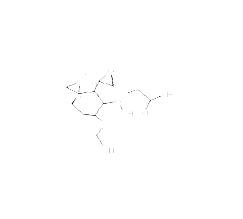 CCOC1CC[C@]2(CO2)C([C@@]2(C)O[C@@H]2CCC(C)C)C1OC